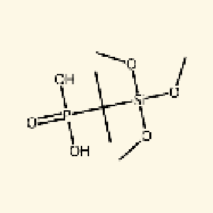 CO[Si](OC)(OC)C(C)(C)P(=O)(O)O